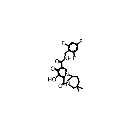 CC1(C)CCC2CN(C1)C(=O)c1c(O)c(=O)c(C(=O)NCc3c(F)cc(F)cc3F)cn12